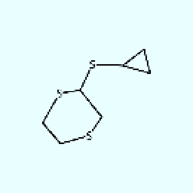 C1CSC(SC2CC2)CS1